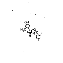 Cc1cc(O)ccc1-c1n[nH]c2nc(Oc3ccc(F)cc3F)ncc12